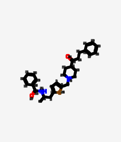 CC(Cc1ccc(CN2CCC(C(=O)CCc3ccccc3)CC2)s1)NC(=O)c1ccccc1